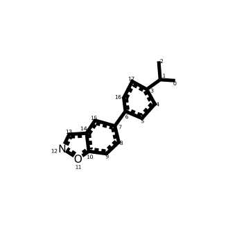 CC(C)c1ccc(-c2ccc3oncc3c2)cc1